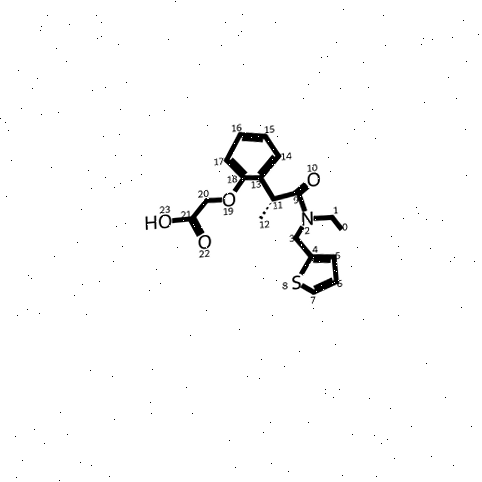 CCN(Cc1cccs1)C(=O)[C@H](C)c1ccccc1OCC(=O)O